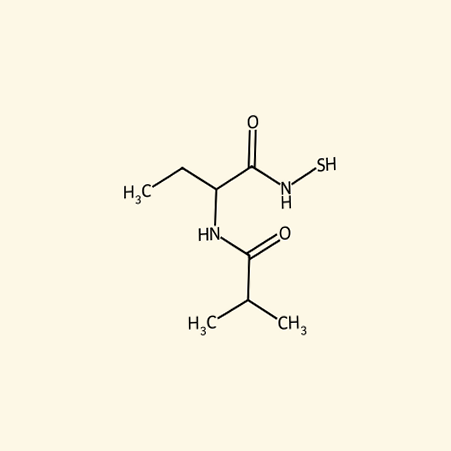 CCC(NC(=O)C(C)C)C(=O)NS